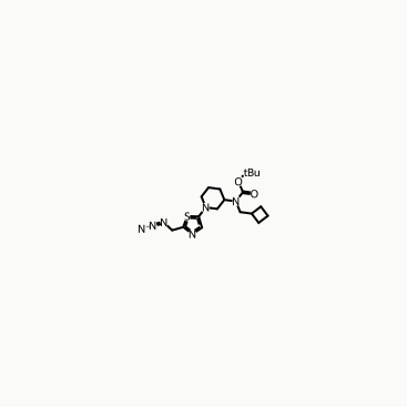 CC(C)(C)OC(=O)N(CC1CCC1)C1CCCN(c2cnc(CN=[N+]=[N-])s2)C1